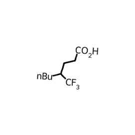 CCCCC(CCC(=O)O)C(F)(F)F